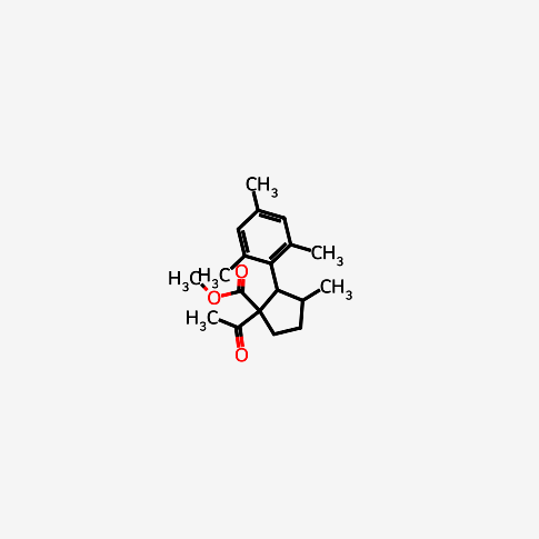 COC(=O)C1(C(C)=O)CCC(C)C1c1c(C)cc(C)cc1C